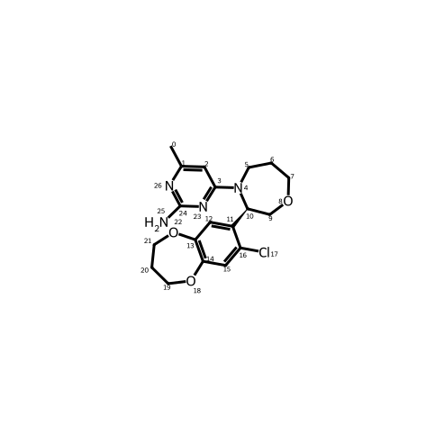 Cc1cc(N2CCCOC[C@H]2c2cc3c(cc2Cl)OCCCO3)nc(N)n1